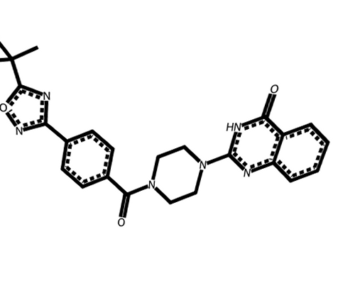 CC1(c2nc(-c3ccc(C(=O)N4CCN(c5nc6ccccc6c(=O)[nH]5)CC4)cc3)no2)CC1